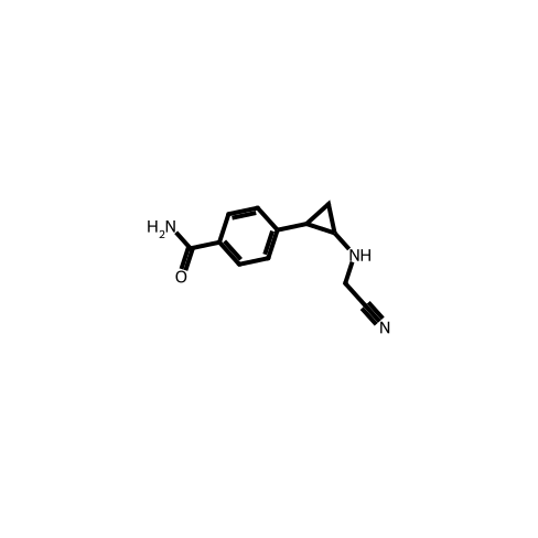 N#CCNC1CC1c1ccc(C(N)=O)cc1